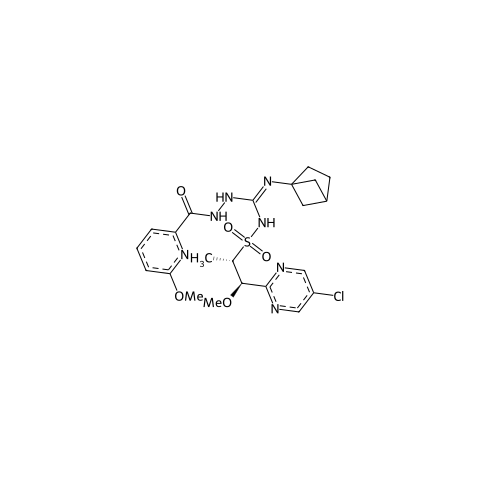 COc1cccc(C(=O)NN/C(=N/C23CCC(C2)C3)NS(=O)(=O)[C@@H](C)[C@H](OC)c2ncc(Cl)cn2)n1